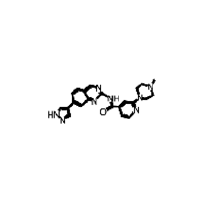 CN1CCN(c2cc(C(=O)Nc3ncc4ccc(-c5cn[nH]c5)cc4n3)ccn2)CC1